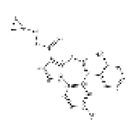 Cc1ccccc1C1=NCc2c(C(=O)OCC3CC3)ncn2-c2ccc(S)cc21